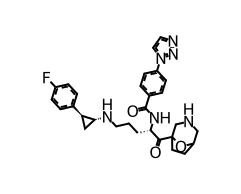 O=C(N[C@@H](CCCN[C@@H]1C[C@H]1c1ccc(F)cc1)C(=O)C12CCC(CNC1)O2)c1ccc(-n2ccnn2)cc1